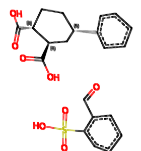 O=C(O)[C@@H]1CC[C@H](c2ccccc2)C[C@H]1C(=O)O.O=Cc1ccccc1S(=O)(=O)O